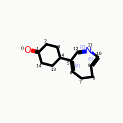 O=C1CCC(C2=C/CC/C=C/N=C\2)CC1